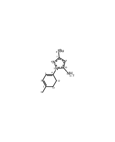 CC1=CC=C(n2nc(C(C)(C)C)cc2N)CC1